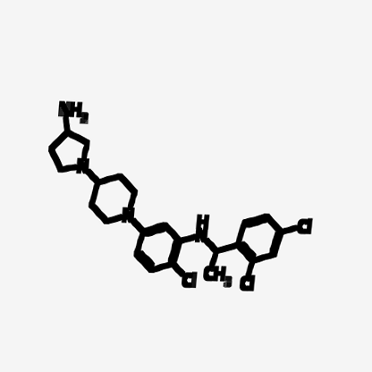 CC(Nc1cc(N2CCC(N3CCC(N)C3)CC2)ccc1Cl)c1ccc(Cl)cc1Cl